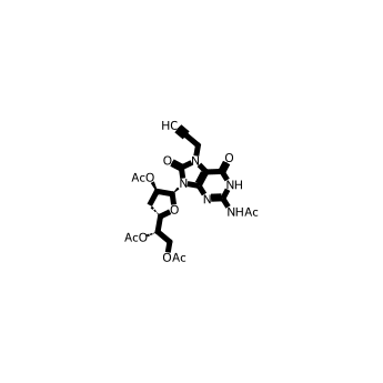 C#CCn1c(=O)n([C@@H]2O[C@H]([C@H](COC(C)=O)OC(C)=O)C[C@H]2OC(C)=O)c2nc(NC(C)=O)[nH]c(=O)c21